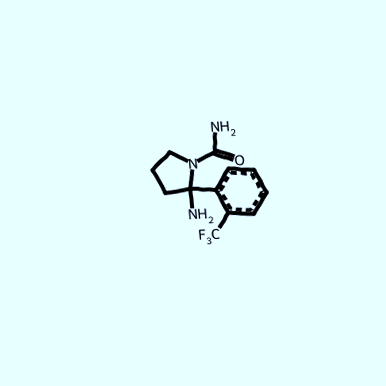 NC(=O)N1CCCC1(N)c1ccccc1C(F)(F)F